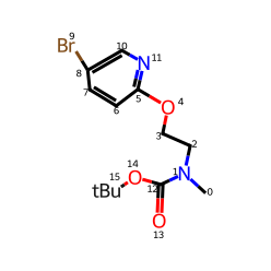 CN(CCOc1ccc(Br)cn1)C(=O)OC(C)(C)C